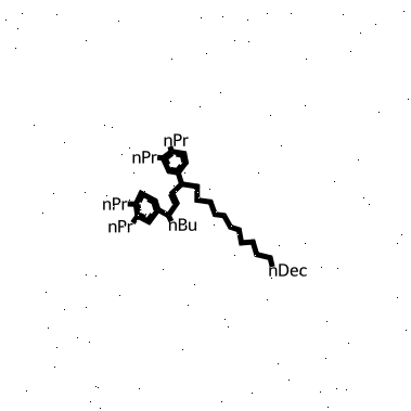 CC[CH]CC(C=CC(CCCCCCCCCCCCCCCCCCCCC)c1ccc(CCC)c(CCC)c1)c1ccc(CCC)c(CCC)c1